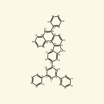 c1ccc(-c2nc(-c3ccccc3)nc(-c3ccc4c(c3)oc3ccc5c(-c6ccccc6)nc6ccccc6c5c34)n2)cc1